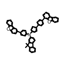 CC1(C)c2ccccc2-c2ccc(N(c3ccc(-c4ccc(-c5cccc6c5oc5ccccc56)cc4)cc3)c3ccc(-c4ccc5oc6ccccc6c5c4)cc3)cc21